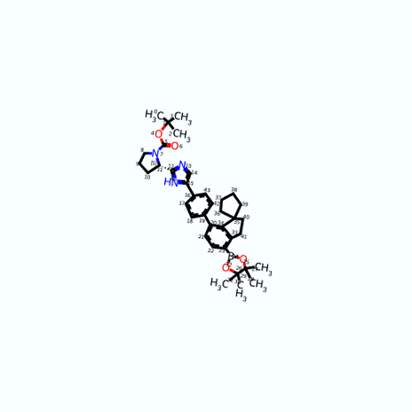 CC(C)(C)OC(=O)N1CCC[C@H]1c1ncc(-c2ccc(-c3ccc(B4OC(C)(C)C(C)(C)O4)c4c3C3(CCCC3)CC4)cc2)[nH]1